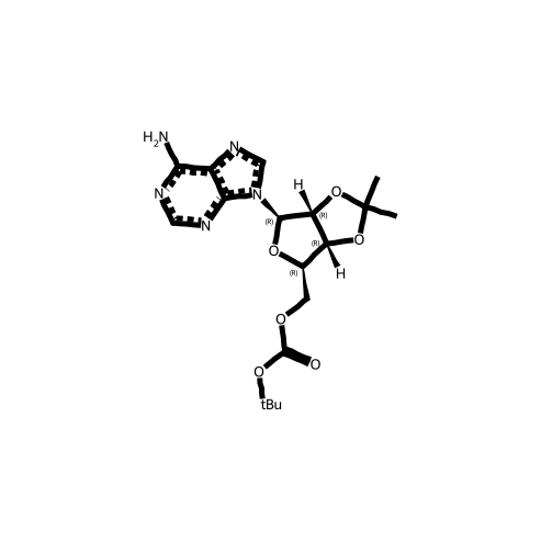 CC(C)(C)OC(=O)OC[C@H]1O[C@@H](n2cnc3c(N)ncnc32)[C@@H]2OC(C)(C)O[C@@H]21